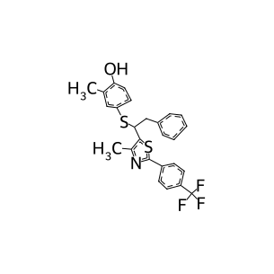 Cc1cc(SC(Cc2ccccc2)c2sc(-c3ccc(C(F)(F)F)cc3)nc2C)ccc1O